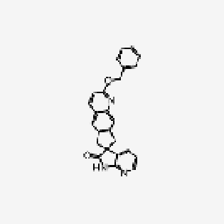 O=C1Nc2ncccc2C12Cc1cc3ccc(OCc4ccccc4)nc3cc1C2